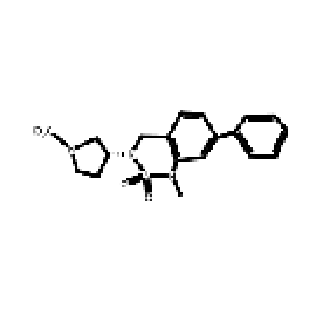 CN1c2cc(-c3ccccc3)ccc2CN([C@@H]2CCN(C(=O)O)C2)S1(=O)=O